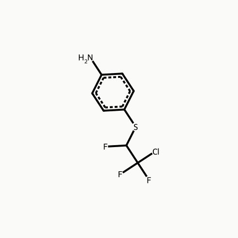 Nc1ccc(SC(F)C(F)(F)Cl)cc1